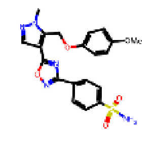 COc1ccc(OCc2c(-c3nc(-c4ccc(S(N)(=O)=O)cc4)no3)cnn2C)cc1